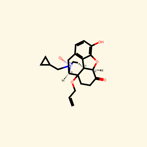 C=CCOC12CCC(=O)[C@@H]3Oc4c(O)ccc5c4[C@@]31CC[N@+]([O-])(CC1CC1)[C@@H]2C5